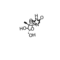 C#C[C@@]1(Cl)C(O)[C@@H](CO)O[C@H]1n1ncc(=O)[nH]c1=O